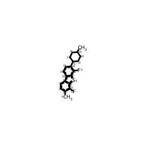 Cc1ccc2c(sc3c(F)c(C4CCC(C)CC4)ccc32)c1F